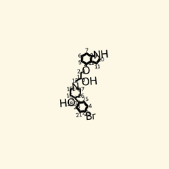 O[C@H](COc1cccc2[nH]ccc12)CN1CCC(O)(c2ccc(Br)cc2)CC1